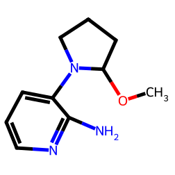 COC1CCCN1c1cccnc1N